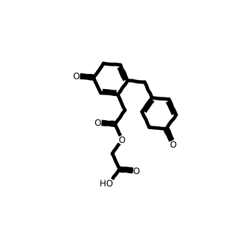 O=C(O)COC(=O)CC1=CC(=O)CC=C1CC1=CCC(=O)C=C1